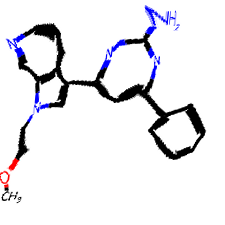 COCCn1cc(-c2cc(-c3ccccc3)nc(N)n2)c2ccncc21